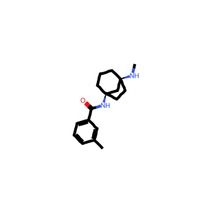 CN[C@@]12CCC[C@@](NC(=O)c3cccc(C)c3)(CC1)C2